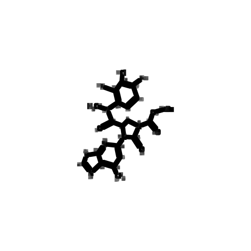 CN(C(=O)C1CN(C(=O)OC(C)(C)C)C(=O)N1c1cc(C(F)(F)F)c2ncsc2n1)c1ccc(F)c(Cl)c1F